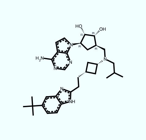 CC(C)CN(C[C@H]1C[C@@H](n2ccc3c(N)ncnc32)[C@H](O)[C@@H]1O)[C@H]1C[C@@H](CCc2nc3cc(C(C)(C)C)ccc3[nH]2)C1